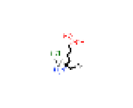 CC(C)CC(N)(CCCCB(O)O)C(=O)O.Cl